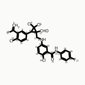 C=C(F)c1cc(C2C(Cl)(Cl)C2(C=O)CNc2ccc(Cl)c(C(=O)Nc3ccc(F)cc3)c2)ccc1Cl